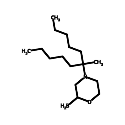 BC1CN(C(C)(CCCCC)CCCCC)CCO1